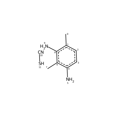 Cc1ccc(N)c(C)c1N.N#CS